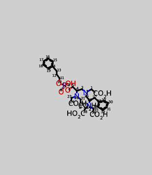 O=C(O)CN(CC(COP(=O)(O)OCCCc1ccccc1)N(CC(=O)O)CC(=O)O)CC(Cc1ccccc1)N(CC(=O)O)CC(=O)O